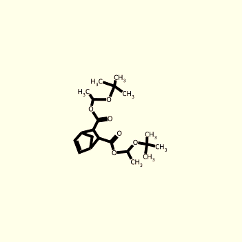 CC(OC(=O)C1C2C=CC(C2)C1C(=O)OC(C)OC(C)(C)C)OC(C)(C)C